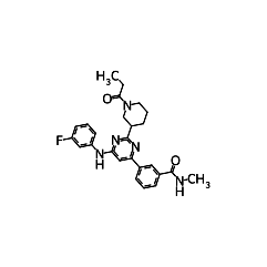 CCC(=O)N1CCCC(c2nc(Nc3cccc(F)c3)cc(-c3cccc(C(=O)NC)c3)n2)C1